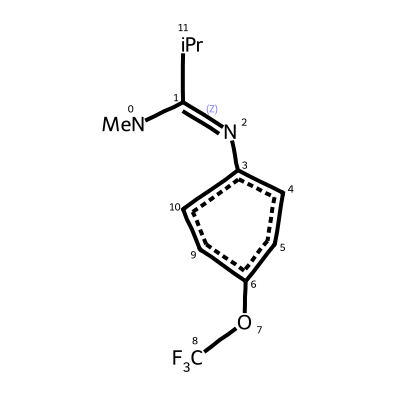 CN/C(=N\c1ccc(OC(F)(F)F)cc1)C(C)C